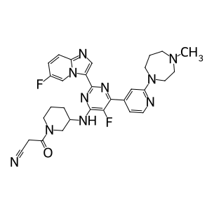 CN1CCCN(c2cc(-c3nc(-c4cnc5ccc(F)cn45)nc(NC4CCCN(C(=O)CC#N)C4)c3F)ccn2)CC1